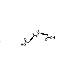 O=C(O)CC#CC(=O)OC(=O)C#CCC(=O)O